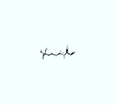 C=CC(=O)NOCCC[Si](C)(C)C